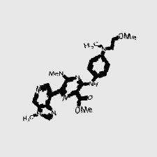 CNc1nc(Nc2ccc(N(C)CCOC)cc2)c(C(=O)OC)nc1-c1cncc2c1ncn2C